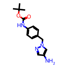 CC(C)(C)OC(=O)Nc1ccc(Cn2cc(N)cn2)cc1